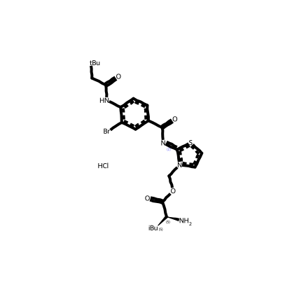 CC[C@H](C)[C@H](N)C(=O)OCn1ccs/c1=N\C(=O)c1ccc(NC(=O)CC(C)(C)C)c(Br)c1.Cl